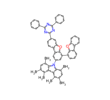 Bc1cc(B)c2c(c1B)c1c(B)c(B)cc(B)c1n2-c1cc(-c2cccc3c2oc2ccccc23)c2oc3cc(-c4nc(-c5ccccc5)nc(-c5ccccc5)n4)ccc3c2c1